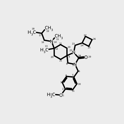 COc1ccc(CN2CC3(CCC(C)(N(C)CC(C)C)CC3)N(CC3CCC3)C2=O)cc1